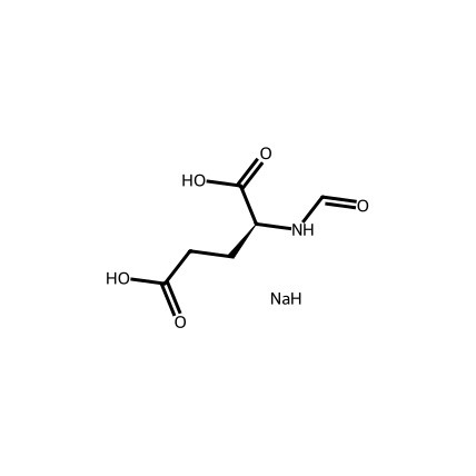 O=CN[C@@H](CCC(=O)O)C(=O)O.[NaH]